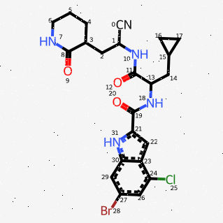 N#CC(CC1CCCNC1=O)NC(=O)C(CC1CC1)NC(=O)c1cc2c(Cl)cc(Br)cc2[nH]1